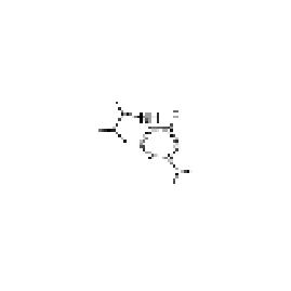 CC(C)c1ccc(NC(C)C(C)C)c(F)c1